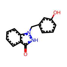 O=c1[nH]n(Cc2cccc(O)c2)c2ccccc12